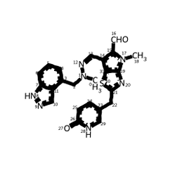 CN(Cc1cccc2[nH]ncc12)/N=C\c1c(C=O)n(C)c2nc(Cc3ccc(=O)[nH]c3)sc12